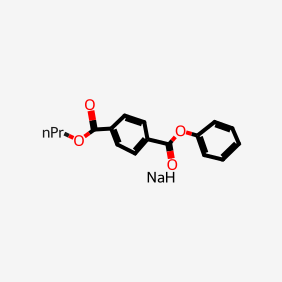 CCCOC(=O)c1ccc(C(=O)Oc2ccccc2)cc1.[NaH]